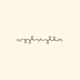 CCNCC(=O)NCCSSCCNC(=O)CNCC